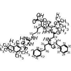 Cc1c(C)c(S(=O)(=O)NC(=N)NCCC[C@H](NC(=O)[C@H](NC(=O)[C@H](CCc2ccccc2)NC(=O)CCc2ccccc2)[C@@H](C)OC(C)(C)C)C(O)C(=O)O)c(C)c2c1OC(C)(C)C2